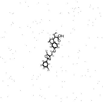 CCC(C(=O)O)C1CCc2cc(OCCc3nc(-c4cccc(C)c4)oc3C)ccc21